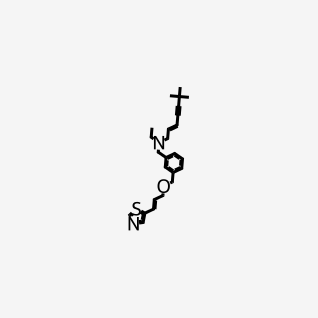 CCN(CC=CC#CC(C)(C)C)Cc1cccc(COCC=Cc2cncs2)c1